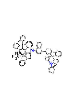 CC1(C)c2ccccc2-c2ccc(N(c3cccc4c3-c3ccccc3C43c4ccccc4-c4ccccc43)c3ccc(-c4ccc5c(c4)C4(c6ccccc6-5)c5ccccc5-n5c6ccccc6c6cccc4c65)c4ccccc34)cc21